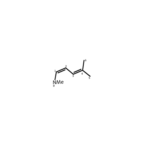 CN/C=C\C=C(C)C